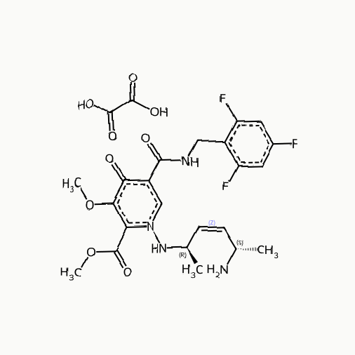 COC(=O)c1c(OC)c(=O)c(C(=O)NCc2c(F)cc(F)cc2F)cn1N[C@H](C)/C=C\[C@H](C)N.O=C(O)C(=O)O